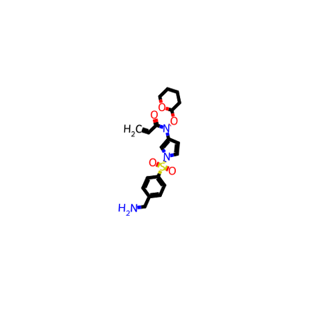 C=CC(=O)N(OC1CCCCO1)c1ccn(S(=O)(=O)c2ccc(CN)cc2)c1